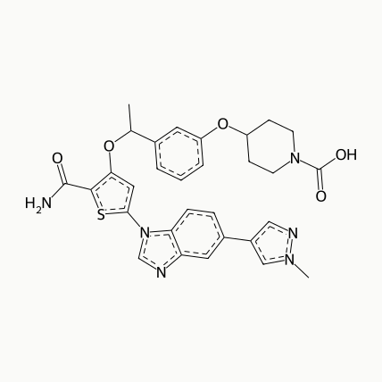 CC(Oc1cc(-n2cnc3cc(-c4cnn(C)c4)ccc32)sc1C(N)=O)c1cccc(OC2CCN(C(=O)O)CC2)c1